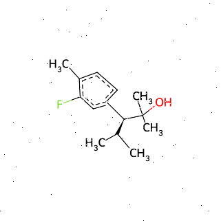 Cc1ccc([C@H](C(C)C)C(C)(C)O)cc1F